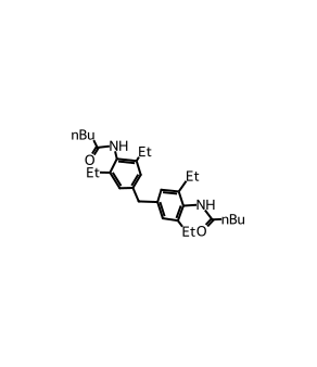 CCCCC(=O)Nc1c(CC)cc(Cc2cc(CC)c(NC(=O)CCCC)c(CC)c2)cc1CC